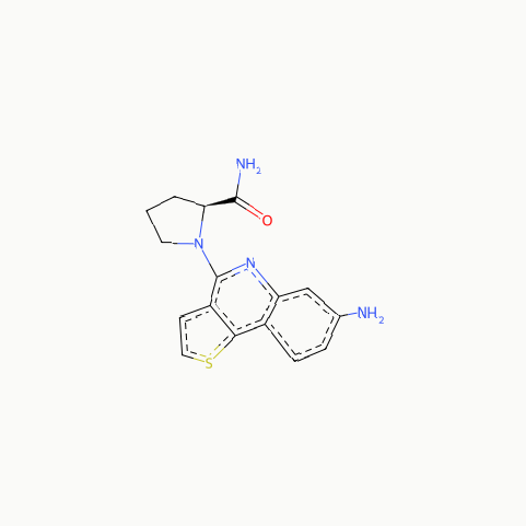 NC(=O)[C@@H]1CCCN1c1nc2cc(N)ccc2c2sccc12